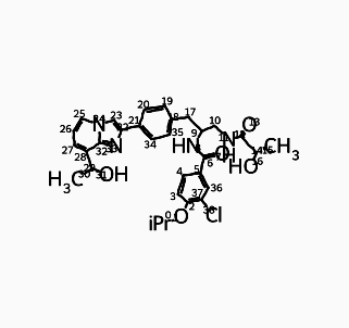 CC(C)Oc1ccc(C(=O)NC(CNC(=O)[C@H](C)O)Cc2ccc(-c3cn4cccc(C(C)O)c4n3)cc2)cc1Cl